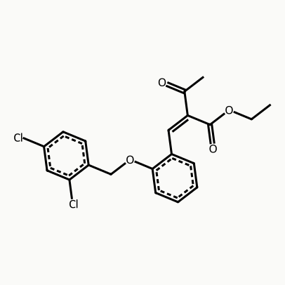 CCOC(=O)C(=Cc1ccccc1OCc1ccc(Cl)cc1Cl)C(C)=O